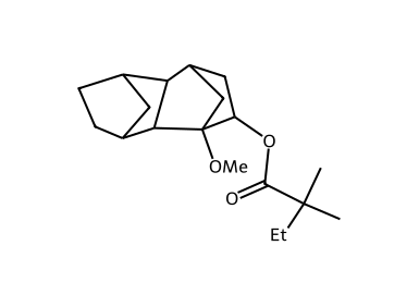 CCC(C)(C)C(=O)OC1CC2CC1(OC)C1C3CCC(C3)C21